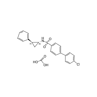 O=C(O)O.O=S(=O)(N[C@@H]1C[C@H]1c1ccccc1)c1ccc(-c2ccc(Cl)cc2)cc1